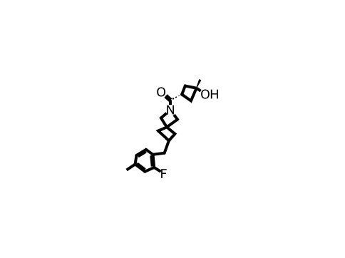 Cc1ccc(CC2CC3(C2)CN(C(=O)[C@H]2C[C@@](C)(O)C2)C3)c(F)c1